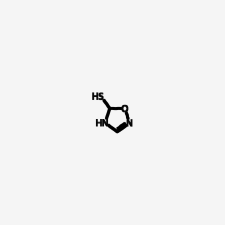 SC1NC=NO1